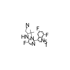 CC(C)(C)C(CC#N)Nc1nc(-c2cn(SI)c3c(F)cc(F)cc23)ncc1F